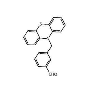 O=Cc1cccc([CH]N2c3ccccc3Sc3ccccc32)c1